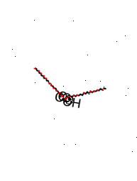 CCCCCCCCCCCCCCCCCCCCCCC(=O)OC[C@H](CO)OC(=O)CCCCCCCCCCCCCCCCCCCCCC